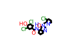 O=C(Nc1cccc2ncn(Cc3ncccc3Cl)c(=O)c12)c1cc(Cl)c(O)c(Cl)c1